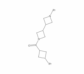 CC(C)C1CC(C(=O)N2CC(C3CN(C(C)C)C3)C2)C1